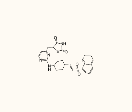 O=C1NC(=O)C(Cc2ccnc(NC3CCC(/C=N/S(=O)(=O)c4cccc5cccnc45)CC3)n2)S1